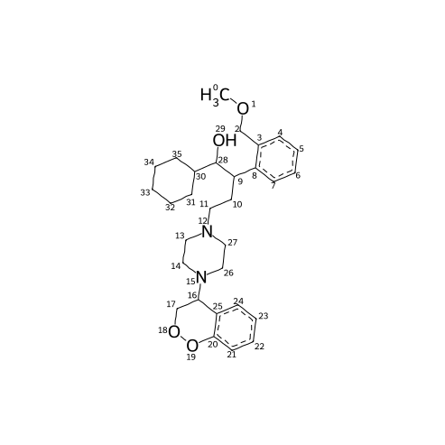 COCc1ccccc1C(CCN1CCN(C2COOc3ccccc32)CC1)C(O)C1CCCCC1